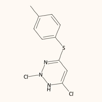 Cc1ccc(SC2=NN(Cl)NC(Cl)=C2)cc1